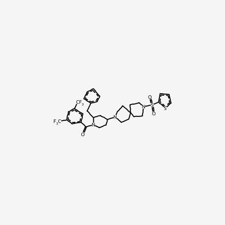 O=C(c1cc(C(F)(F)F)cc(C(F)(F)F)c1)N1CCC(N2CCC3(CC2)CCN(S(=O)(=O)c2cccs2)CC3)CC1Cc1ccccc1